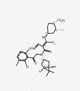 CCOC(=O)[C@H]1CC[C@H](N/C(=C(\C=N)C(=O)N(CC(=O)c2c(Cl)ccc(F)c2Cl)[C@H]2C[C@@H]3[C@H](C2)C3(C)C)C(F)(F)F)C[C@H]1C